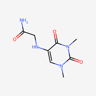 Cn1cc(NCC(N)=O)c(=O)n(C)c1=O